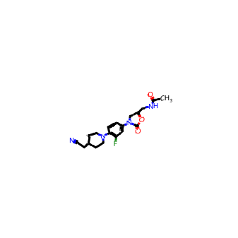 CC(=O)NCC1CN(c2ccc(N3C[CH][C](CC#N)CC3)c(F)c2)C(=O)O1